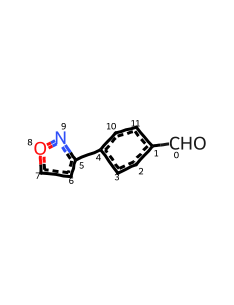 O=Cc1ccc(-c2ccon2)cc1